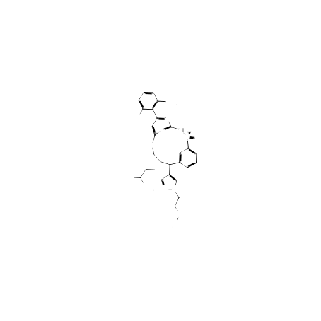 COCCn1cc(C2c3cccc(c3)S(=O)(=O)Nc3nc(cc(-c4c(C)cccc4C)n3)OC[C@H]2CCC(C)C)cn1